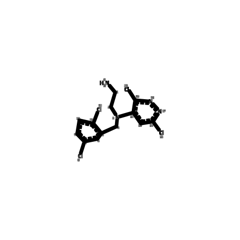 NCCN(Cc1cc(Cl)ccc1Cl)c1cc(Cl)nnc1Cl